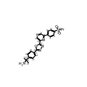 CC(C)S(=O)(=O)c1ccc(-c2cncc(-c3nnc(-c4ccc(C(C)(C)N)cc4)o3)n2)cc1